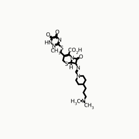 CN(C)CCCC1CCN(C=NC2C(=O)N3C(C(=O)O)=C(CSc4nc(=O)c(=O)[nH]n4C)CS[C@@H]23)CC1